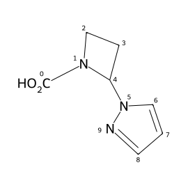 O=C(O)N1CCC1n1cccn1